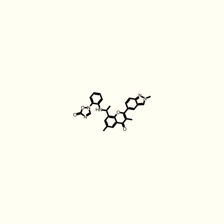 Cc1cc(C(C)Nc2ccccc2-n2cnc(=O)o2)c2oc(-c3ccc4nn(C)cc4c3)c(C)c(=O)c2c1